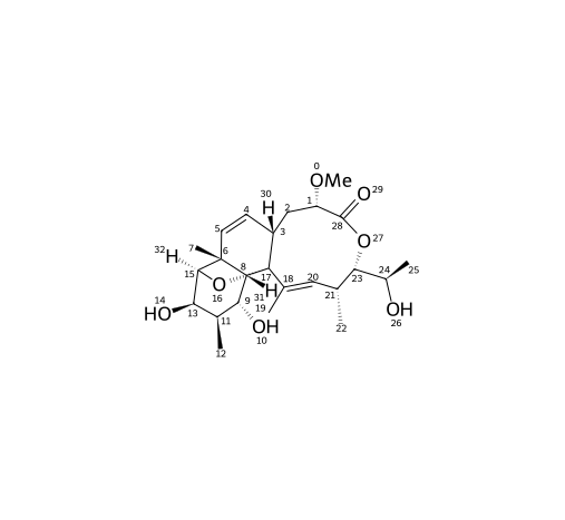 CO[C@H]1C[C@H]2C=C[C@]3(C)[C@H]4[C@H](O)[C@@H](C)[C@@H](O)[C@@H]3O[C@@]24/C(C)=C/[C@@H](C)[C@@H]([C@@H](C)O)OC1=O